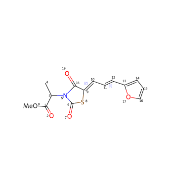 COC(=O)C(C)N1C(=O)S/C(=C\C=C\c2ccco2)C1=O